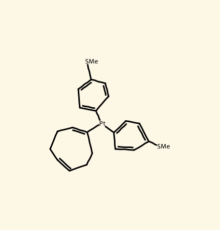 CSc1cc[c]([Pt]([C]2=CCCC=CCC2)[c]2ccc(SC)cc2)cc1